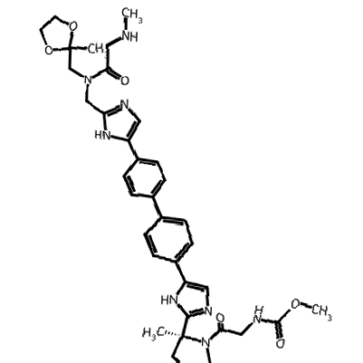 CNCC(=O)N(Cc1ncc(-c2ccc(-c3ccc(-c4cnc([C@]5(C)CCCN5C(=O)CNC(=O)OC)[nH]4)cc3)cc2)[nH]1)CC1(C)OCCO1